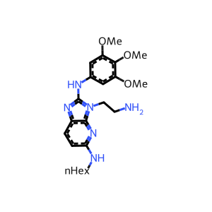 CCCCCCNc1ccc2nc(Nc3cc(OC)c(OC)c(OC)c3)n(CCN)c2n1